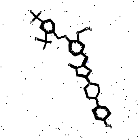 COc1cc(/C=C2/SC(N3CCN(c4ccc(C)cc4)CC3)=NC2=O)ccc1OCc1ccc(C(F)(F)F)cc1C(F)(F)F